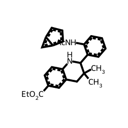 CCOC(=O)c1ccc2c(c1)CC(C)(C)C(c1ccccc1NC(C)=O)N2.c1cc2cc-2c1